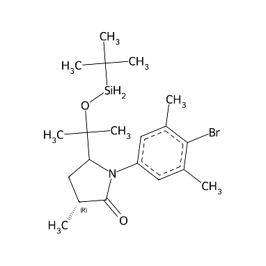 Cc1cc(N2C(=O)[C@H](C)CC2C(C)(C)O[SiH2]C(C)(C)C)cc(C)c1Br